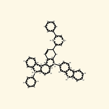 C1=CC(c2cncc(-c3ccccc3)n2)Cc2c1c1c3c4ccccc4n(-c4ccccc4)c3ccc1n2-c1ccc2c(c1)sc1ccccc12